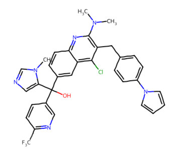 CN(C)c1nc2ccc(C(O)(c3ccc(C(F)(F)F)nc3)c3cncn3C)cc2c(Cl)c1Cc1ccc(-n2cccc2)cc1